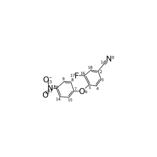 N#Cc1ccc(Oc2ccc([N+](=O)[O-])cc2)c(F)c1